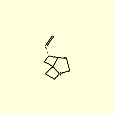 C=C[C@H]1CC23CCN2CCC13